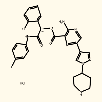 Cl.Nc1ncc(-c2cnn(C3CCNCC3)c2)nc1C(=O)O[C@@H](C(=O)Nc1ccc(F)cc1)c1ccccc1Cl